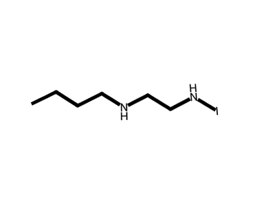 CCCCNCCNI